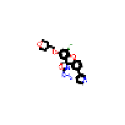 NC1=N[C@@]2(CO1)c1cc(-c3cccnc3)ccc1Oc1c(F)cc(OCC3CCOCC3)cc12